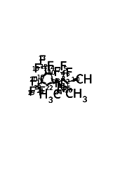 C#CC1=C(C(F)(F)F)N(c2cc(C(F)(F)F)cc(C(F)(F)F)c2)N(C)C1C